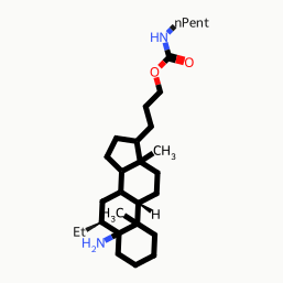 CCCCCNC(=O)OCCCC1CCC2C3C[C@H](CC)C4(N)CCCCC4(C)[C@H]3CCC12C